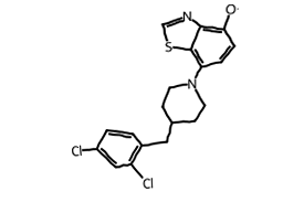 [O]c1ccc(N2CCC(Cc3ccc(Cl)cc3Cl)CC2)c2scnc12